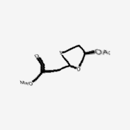 COC(=O)CC1OC(OC(C)=O)CS1